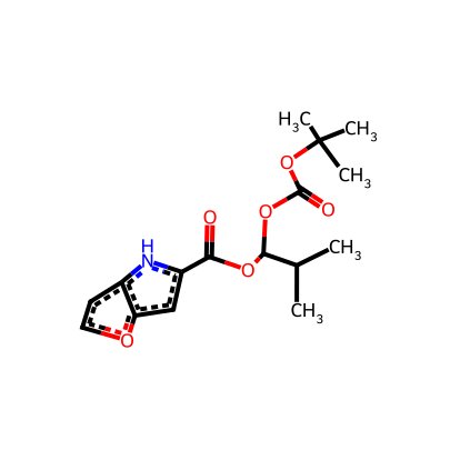 CC(C)C(OC(=O)OC(C)(C)C)OC(=O)c1cc2occc2[nH]1